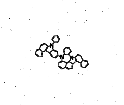 c1ccc(-n2c3cc(-n4c5cccc6ccc7c8c9ccccc9ccc8n(c8ccccc84)c7c65)ccc3c3c4ccccc4ccc32)cc1